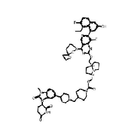 CCc1c(F)ccc2cc(O)cc(-c3ncc4c(N5CCCC6(CCO6)C5)nc(OC[C@@]56CCCN5[C@H](COC(=O)N5CCC(CN7CCC(c8ccc9c(c8)n(C8CCC(=O)NC8=O)c(=O)n9C)CC7)CC5)CC6)nc4c3F)c12